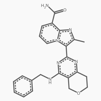 Cc1nc2c(C(N)=O)cccn2c1-c1nc2c(c(NCc3ccccc3)n1)COCC2